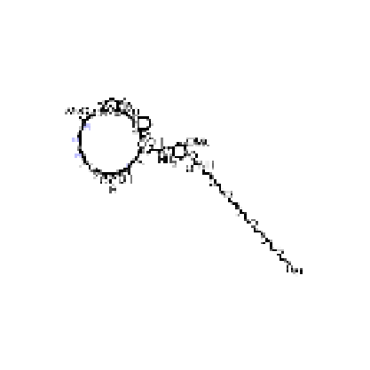 CCOCCOCCOCCOCCOCCOCCOCCNC(=O)O[C@@H]1CC[C@@H](C[C@@H](N)[C@@H](O)C[C@H]2OC(=O)[C@@H]3CCCCN3C(=O)C(=O)[C@]3(O)O[C@@H](CC[C@H]3C)C[C@H](OC)/C(C)=C/C=C/C=C/[C@@H](C)C[C@@H](C)C(=O)[C@H](O)[C@H](O)/C(C)=C/[C@H]2C)C[C@H]1OC